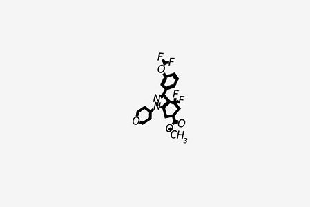 COC(=O)C1Cc2c(c(-c3cccc(OC(F)F)c3)nn2C2CCOCC2)C(F)(F)C1